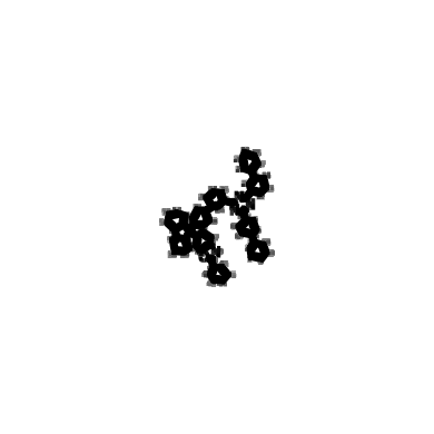 c1ccc(-c2ccc(-c3nc(-c4cccc(-c5ccccc5)c4)nc(-c4cccc(-c5ccc(C6(c7ccc8nc(-c9ccccc9)oc8c7)c7ccccc7-c7ccccc76)cc5)c4)n3)cc2)cc1